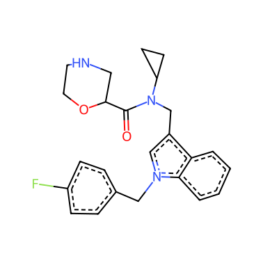 O=C(C1CNCCO1)N(Cc1cn(Cc2ccc(F)cc2)c2ccccc12)C1CC1